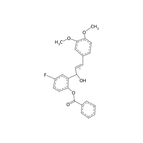 COc1ccc(/C=C/C(O)c2cc(F)ccc2OC(=O)c2ccccc2)cc1OC